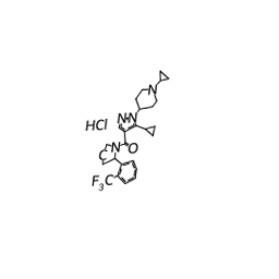 Cl.O=C(c1cnn(C2CCN(C3CC3)CC2)c1C1CC1)N1CCCC1c1ccccc1C(F)(F)F